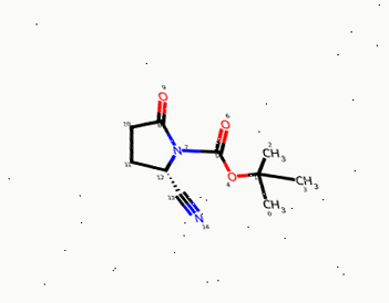 CC(C)(C)OC(=O)N1C(=O)CC[C@H]1C#N